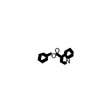 O=C(OCc1ccccc1)c1ccnc2ccccc12